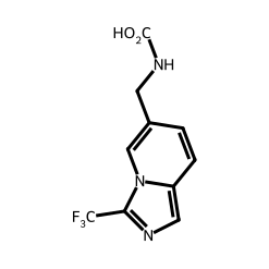 O=C(O)NCc1ccc2cnc(C(F)(F)F)n2c1